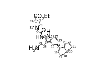 CCOC(=O)C1CCN(CC(=O)Nc2[nH]c3ccc(-c4cccc5ccccc45)cc3c2CCN)CC1